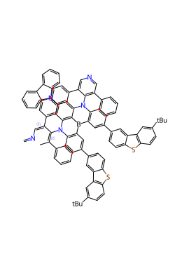 C=N/C=C(\C(=C(/C)c1ccccc1)N1c2ccc(-c3ccc4sc5ccc(C(C)(C)C)cc5c4c3)cc2B2c3cc(-c4ccc5sc6ccc(C(C)(C)C)cc6c5c4)ccc3N(c3c(-c4ccccc4)cncc3-c3ccccc3)c3cc(-n4c5ccccc5c5ccccc54)cc1c32)c1ccccc1